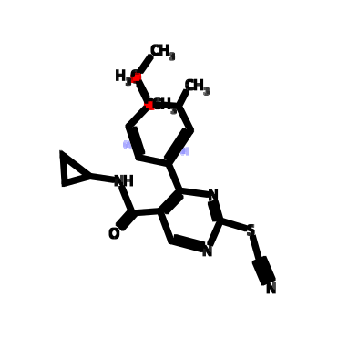 COC(C)/C=C\C(=C/C(C)OC)c1nc(SC#N)ncc1C(=O)NC1CC1